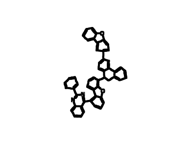 c1ccc(-c2nc(-c3cccc4oc5c(C6Cc7ccccc7-c7cc(-c8ccc9oc%10ccccc%10c9c8)ccc76)cccc5c34)c3ccccc3n2)cc1